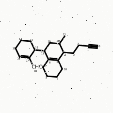 C#CCCC1C2=C(CCCC2)C(C2CCCC=C2C=O)CC1C